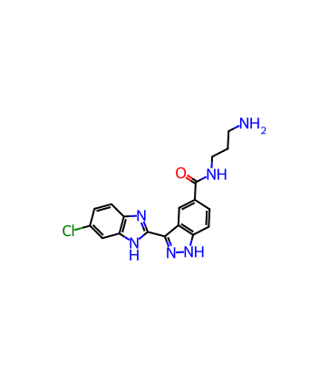 NCCCNC(=O)c1ccc2[nH]nc(-c3nc4ccc(Cl)cc4[nH]3)c2c1